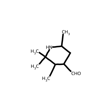 CC1CC(C=O)C(C)C(C)(C)N1